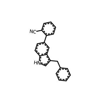 N#Cc1ccccc1-c1ccc2[nH]cc(Cc3ccccc3)c2c1